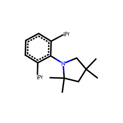 CC(C)c1cccc(C(C)C)c1N1CC(C)(C)CC1(C)C